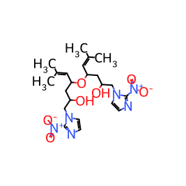 CC(C)=CC(CC(O)Cn1ccnc1[N+](=O)[O-])OC(C=C(C)C)CC(O)Cn1ccnc1[N+](=O)[O-]